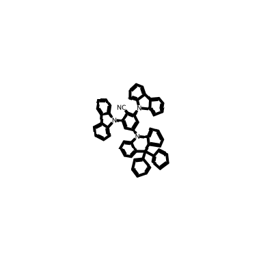 N#Cc1c(-n2c3ccccc3c3ccccc32)cc(N2c3ccccc3C(c3ccccc3)(c3ccccc3)c3ccccc32)cc1-n1c2ccccc2c2ccccc21